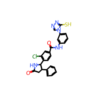 O=C1CC(c2ccccc2)C(c2ccc(C(=O)Nc3cccc(-n4cnnc4S)c3)cc2Cl)N1